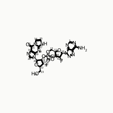 Nc1ncnc2c1nnn2[C@@H]1O[C@H](COP(=O)(S)O[C@@H]2[C@H](F)[C@@H](CO)O[C@H]2n2cnc3c(=O)n4cc[nH]c4nc32)[C@@H](O)[C@@H]1F